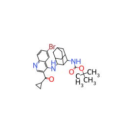 CC(C)(C)OC(=O)NC1C2CC3CC(C2)C(Nc2c(C(=O)C4CC4)cnc4ccc(Br)cc24)C1C3